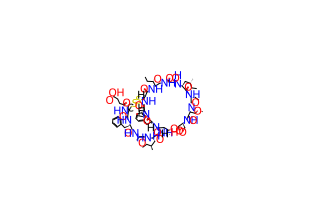 CC[C@@H](C)C[C@@H]1NC(=O)C(=O)NC(=O)[C@H]([C@@H](C)CC)NC(=O)[C@@H]2CSSC[C@H](NC(=O)CCC(=O)O)C(=O)N[C@H](Cc3ccccc3)C(=O)N[C@H](C)C(=O)N[C@@H](C[C@@H](C)CC)C(=O)N[C@@H](C(=O)N[C@H](Cc3ccccc3)C(=O)N3CCC[C@H]3C(=O)N2)[C@@H](C)OC(=O)[C@H](CO)NC(=O)[C@H]([C@@H](C)OC)N(C)C(=O)[C@@H](CC)NC1=O